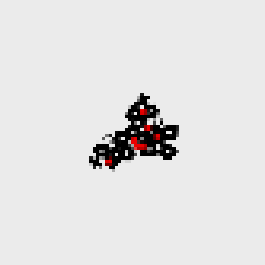 CC(C)(C)c1ccc2c(c1)C1(c3cc(C(C)(C)C)ccc3O2)c2ccccc2-c2ccc(N(c3ccc4c(c3)C(c3ccccc3)(c3ccccc3)c3ccccc3-4)c3ccc4c(c3)C3(c5cc(C(C)(C)C)ccc5Oc5ccc(C(C)(C)C)cc53)c3ccccc3-4)cc21